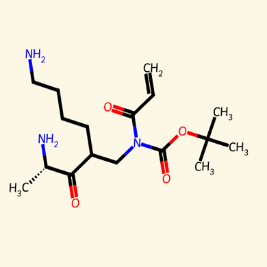 C=CC(=O)N(CC(CCCCN)C(=O)[C@H](C)N)C(=O)OC(C)(C)C